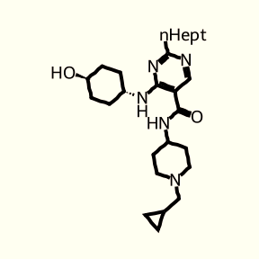 CCCCCCCc1ncc(C(=O)NC2CCN(CC3CC3)CC2)c(N[C@H]2CC[C@H](O)CC2)n1